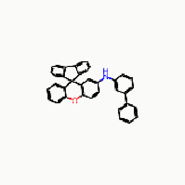 c1ccc(-c2cccc(Nc3ccc4c(c3)C3(c5ccccc5O4)c4ccccc4-c4ccccc43)c2)cc1